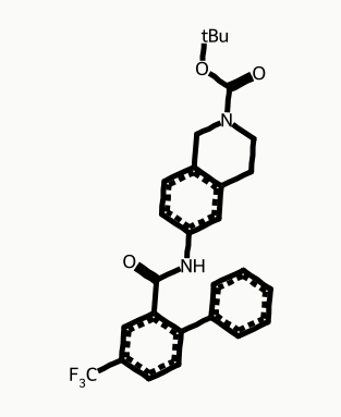 CC(C)(C)OC(=O)N1CCc2cc(NC(=O)c3cc(C(F)(F)F)ccc3-c3ccccc3)ccc2C1